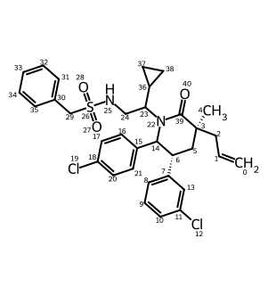 C=CC[C@@]1(C)C[C@H](c2cccc(Cl)c2)C(c2ccc(Cl)cc2)N(C(CNS(=O)(=O)Cc2ccccc2)C2CC2)C1=O